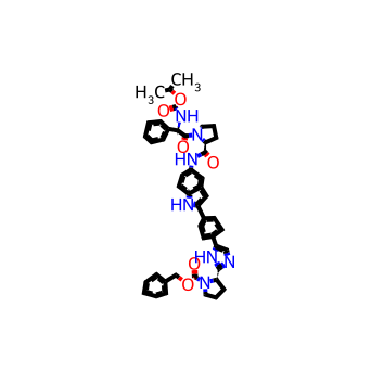 CC(C)OC(=O)N[C@@H](C(=O)N1CCC[C@H]1C(=O)Nc1ccc2[nH]c(-c3ccc(-c4cnc([C@@H]5CCCN5C(=O)OCc5ccccc5)[nH]4)cc3)cc2c1)c1ccccc1